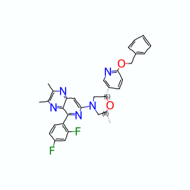 Cc1nc2cc(N3C[C@@H](C)O[C@@H](c4ccc(OCc5ccccc5)nc4)C3)nc(-c3ccc(F)cc3F)c2nc1C